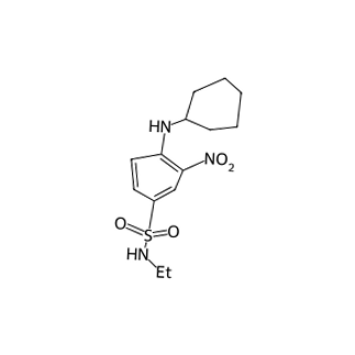 [CH2]CNS(=O)(=O)c1ccc(NC2CCCCC2)c([N+](=O)[O-])c1